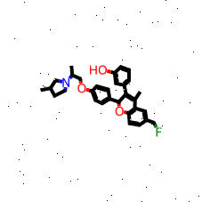 CC1=C(c2cccc(O)c2)C(c2ccc(OCC(C)N3CCC(C)C3)cc2)Oc2ccc(CF)cc21